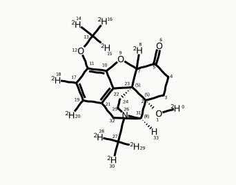 [2H]O[C@@]12CCC(=O)C3([2H])Oc4c(OC([2H])([2H])[2H])c([2H])c([2H])c5c4[C@@]31CCN(C([2H])([2H])[2H])[C@@H]2C5